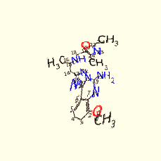 COc1cccc2c1nc(N)n1nc(CC(C)NCc3oc(C)nc3C)nc21